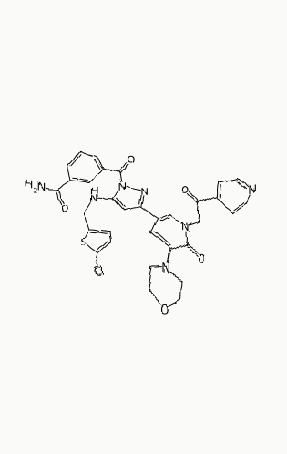 NC(=O)c1cccc(C(=O)n2nc(-c3cc(N4CCOCC4)c(=O)n(CC(=O)c4ccncc4)c3)cc2NCc2ccc(Cl)s2)c1